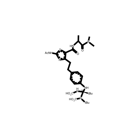 CC(=O)Nc1nc(CCc2ccc(N[C@@](NC(=O)O)(N(C(=O)O)C(C)(C)C)C(C)(C)C)cc2)c(C(=O)NC(C)C(=O)N(C)C)s1